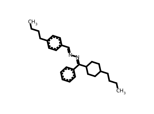 CCCCc1ccc(C=NN=C(c2ccccc2)C2CCC(CCCC)CC2)cc1